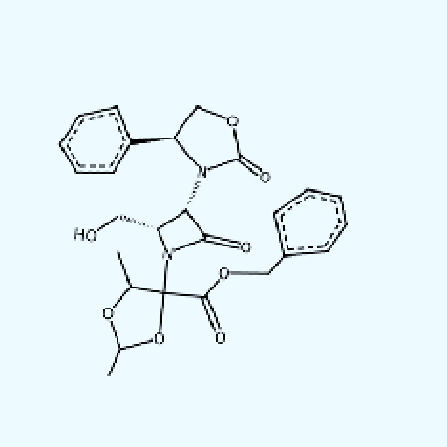 CC1OC(C)C(C(=O)OCc2ccccc2)(N2C(=O)[C@@H](N3C(=O)OC[C@@H]3c3ccccc3)[C@H]2CO)O1